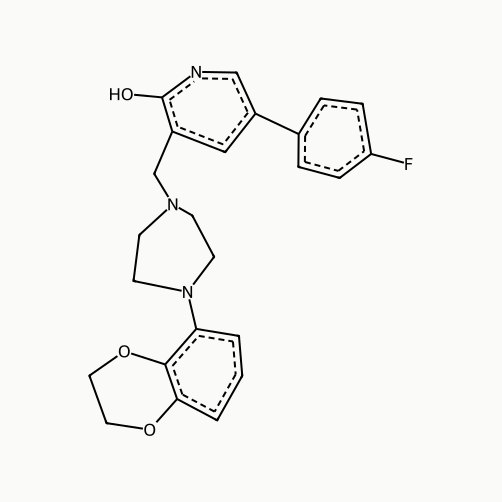 Oc1ncc(-c2ccc(F)cc2)cc1CN1CCN(c2cccc3c2OCCO3)CC1